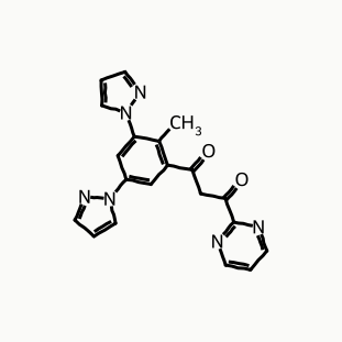 Cc1c(C(=O)CC(=O)c2ncccn2)cc(-n2cccn2)cc1-n1cccn1